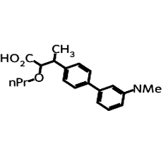 CCCOC(C(=O)O)C(C)c1ccc(-c2cccc(NC)c2)cc1